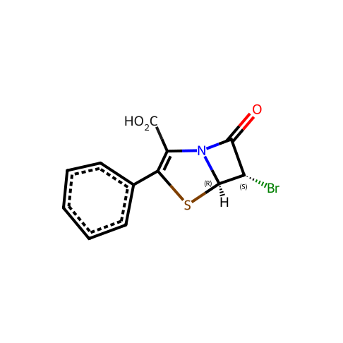 O=C(O)C1=C(c2ccccc2)S[C@@H]2[C@@H](Br)C(=O)N12